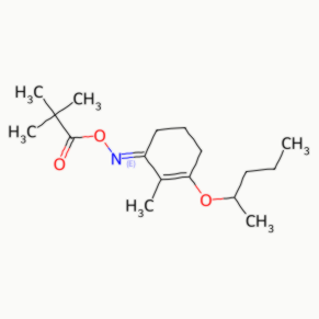 CCCC(C)OC1=C(C)/C(=N/OC(=O)C(C)(C)C)CCC1